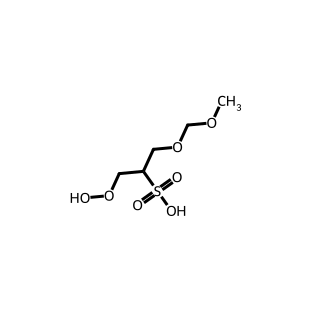 COCOCC(COO)S(=O)(=O)O